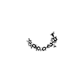 CC(C)Oc1cc2nc([C@H]3CC[C@H](CN4CCC(c5ccc6c(c5)n(C)c(=O)n6C5CCC(=O)NC5=O)C(F)(F)C4)CC3)cn2cc1C(=O)Nc1cccn([C@H]2C[C@H]2F)c1=O